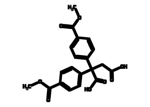 COC(=O)c1ccc(C(CC(=O)O)(C(=O)O)c2ccc(C(=O)OC)cc2)cc1